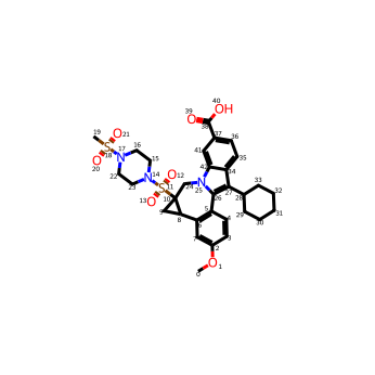 COc1ccc2c(c1)C1CC1(S(=O)(=O)N1CCN(S(C)(=O)=O)CC1)Cn1c-2c(C2CCCCC2)c2ccc(C(=O)O)cc21